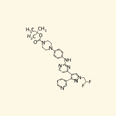 CC(C)(C)OC(=O)N1CCN(c2ccc(Nc3nccc(-c4cn(CC(F)F)nc4-c4cccnc4)n3)cc2)CC1